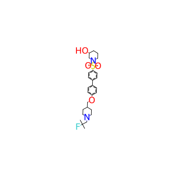 CC(C)(F)CN1CCC(COc2ccc(-c3ccc(S(=O)(=O)N4CCCC(O)C4)cc3)cc2)CC1